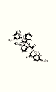 CCC(CN(C)C(=O)COC(c1ccccc1)(c1ccccc1)C(Oc1nc(C)cc(C)n1)C(=O)O)c1ccc(OC)cc1